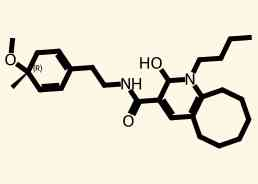 CCCCN1C2=C(C=C(C(=O)NCCC3=CC[C@@](C)(OC)C=C3)C1O)CCCCCC2